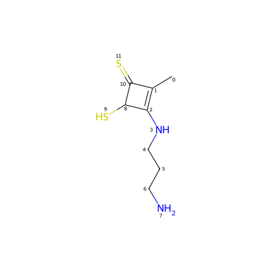 CC1=C(NCCCN)C(S)C1=S